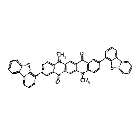 Cn1c2ccc(-c3cccc4c3sc3ccccc34)cc2c(=O)c2cc3c(cc21)c(=O)c1cc(-c2cccc4c2sc2ccccc24)ccc1n3C